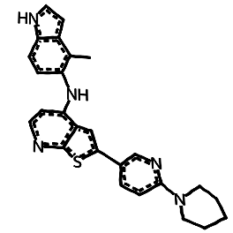 Cc1c(Nc2ccnc3sc(-c4ccc(N5CCCCC5)nc4)cc23)ccc2[nH]ccc12